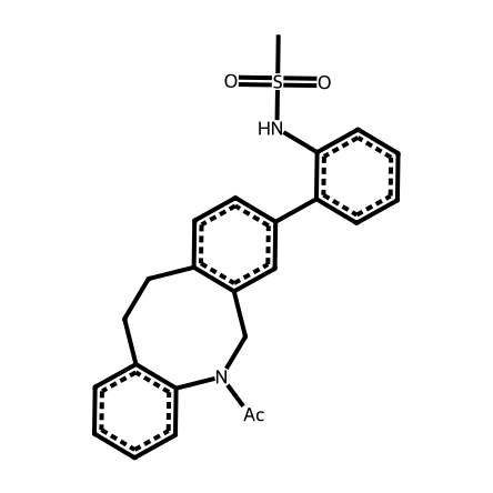 CC(=O)N1Cc2cc(-c3ccccc3NS(C)(=O)=O)ccc2CCc2ccccc21